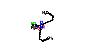 CCCCC/C=C\C/C=C\CCCCCCCC(=O)NC(CCN(C)C)NC(=O)CCCCCCC/C=C\C/C=C\CCCCC.Cl